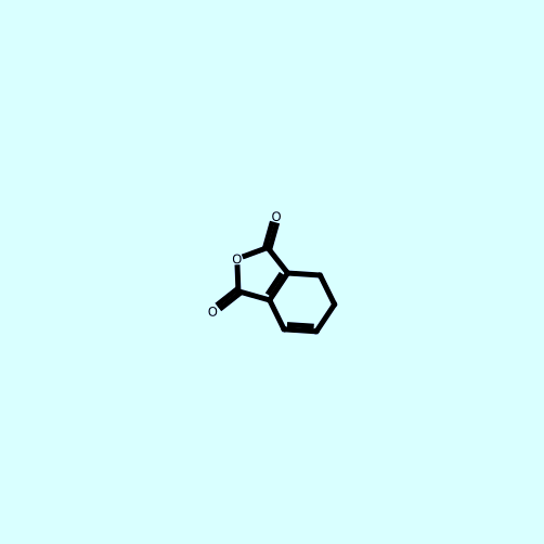 O=C1OC(=O)C2=C1C=CCC2